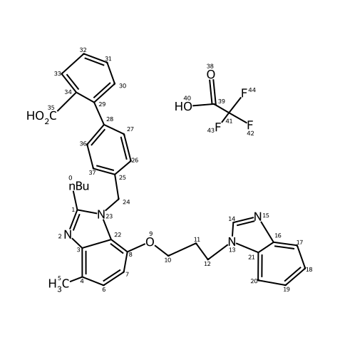 CCCCc1nc2c(C)ccc(OCCCn3cnc4ccccc43)c2n1Cc1ccc(-c2ccccc2C(=O)O)cc1.O=C(O)C(F)(F)F